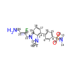 CC(C)c1nc2c(-c3ccc(S(=O)(=O)N(C)C)cc3)cccc2n1C/C(F)=C/CN